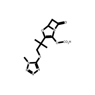 Cn1nnnc1SCC(C)(C)C1=C(OC(=O)O)N2C(=O)CC2O1